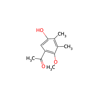 COc1c(C(C)=O)cc(O)c(C)c1C